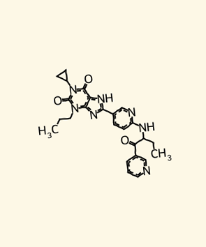 CCCn1c(=O)n(C2CC2)c(=O)c2[nH]c(-c3ccc(NC(CC)C(=O)c4cccnc4)nc3)nc21